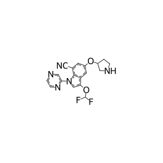 N#Cc1cc(OC2CCNC2)cc2c(OC(F)F)cn(-c3cnccn3)c12